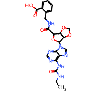 CCNC(=O)Nc1ncnc2c1ncn2C1OC(C(=O)NCc2ccccc2C(=O)O)C2OCOC21